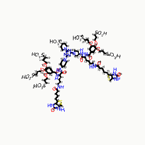 O=C(CCCCC1SCC2NC(=O)NC21)NCCCCC(NC(=O)c1cc(OCCCS(=O)(=O)O)c(OCCCS(=O)(=O)O)c(OCCCS(=O)(=O)O)c1)C(=O)NC1CCN(c2nc(N3CCC(NC(=O)C(CCCCNC(=O)CCCCC4SCC5NC(=O)NC54)NC(=O)c4cc(OCCCS(=O)(=O)O)c(OCCCS(=O)(=O)O)c(OCCCS(=O)(=O)O)c4)CC3)nc(N3CCC(C(=O)O)CC3)n2)CC1